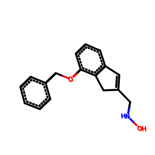 ONCC1=Cc2cccc(OCc3ccccc3)c2C1